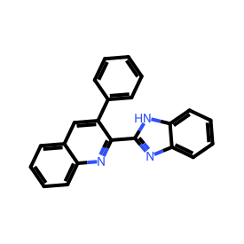 c1ccc(-c2cc3ccccc3nc2-c2nc3ccccc3[nH]2)cc1